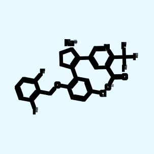 O=C([O-])c1cc(C2=C(c3cc(Cl)ccc3OCc3c(F)cccc3F)CCC2)cnc1C(F)(F)F.[Na+]